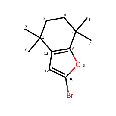 CC1(C)CCC(C)(C)c2oc(Br)cc21